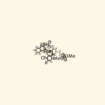 COP(=O)(OC)OCCCCC(COC(=O)Nc1cc2ccccc2cn1)N(NCc1cccc(F)c1Cl)C(C)=O